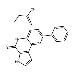 CCC(=O)O.O=c1[nH]c2ccc(-c3ccccc3)cc2c2cc[nH]c12